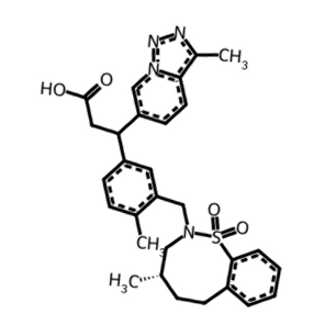 Cc1ccc(C(CC(=O)O)c2ccc3c(C)nnn3c2)cc1CN1C[C@@H](C)CCc2ccccc2S1(=O)=O